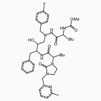 CCC(C)C(C(=O)NC(Cc1ccccc1)C(O)CN(Cc1ccc(F)cc1)NC(=O)C(NC(=O)OC)C(C)(C)C)N1CCN(Cc2cccc(C)n2)C1=O